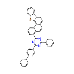 c1ccc(-c2ccc(-c3nc(-c4ccccc4)nc(-c4cccc5c4ccc4ccc6c7ccccc7sc6c45)n3)cc2)cc1